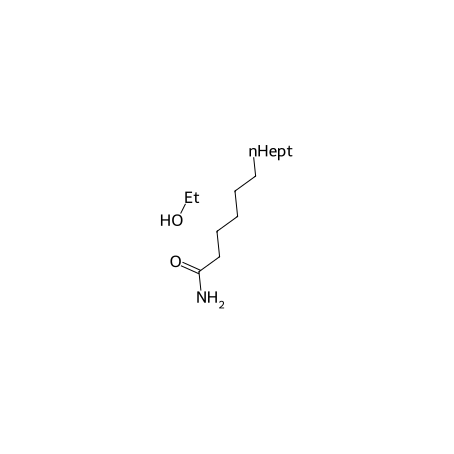 CCCCCCCCCCCCC(N)=O.CCO